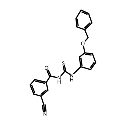 N#Cc1cccc(C(=O)NC(=S)Nc2cccc(OCc3ccccc3)c2)c1